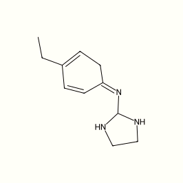 CCC1=CCC(=NC2NCCN2)C=C1